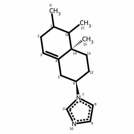 CC1CC=C2C[C@H](n3ccnc3)CC[C@]2(C)C1C